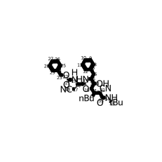 CCCCC(CC(O)C(Cc1ccccc1)NC(=O)[C@H](CC#N)NC(=O)OCc1ccccc1)C(C#N)C(=O)NC(C)(C)C